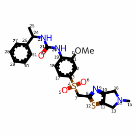 COc1cc(S(=O)(=O)Cc2nc3c(s2)CN(C)C3)ccc1NC(=O)NC(C)c1ccccc1